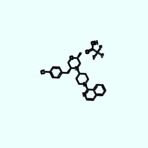 C[C@H]1CN(C2CCN(c3nccc4ccccc34)CC2)[C@@H](Cc2ccc(Cl)cc2)CO1.O=C(O)C(F)(F)F